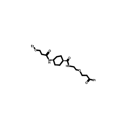 CCOCCC(=O)N[C@H]1CC[C@@H](C(=O)NCCOCCC(=O)C(C)C)CC1